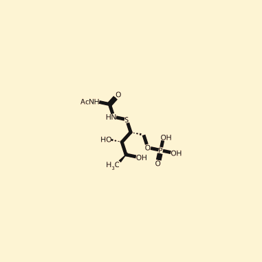 CC(=O)NC(=O)NS[C@H](COP(=O)(O)O)[C@@H](O)[C@H](C)O